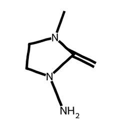 C=C1N(C)CCN1N